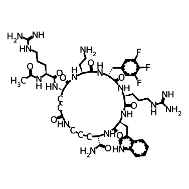 CC(=O)N[C@@H](CCCNC(=N)N)C(=O)N[C@H]1CCC(=O)NCCC[C@@H](C(N)=O)NC(=O)[C@H](Cc2c[nH]c3ccccc23)NC(=O)[C@H](CCCNC(=N)N)NC(=O)[C@@H](Cc2cc(F)c(F)c(F)c2)NC(=O)[C@H](CCN)NC1=O